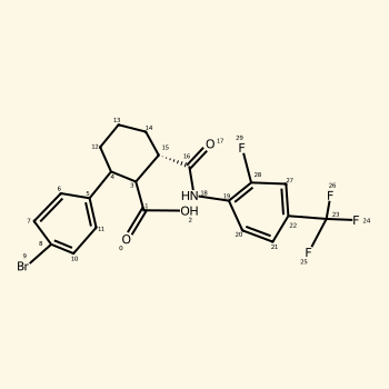 O=C(O)C1C(c2ccc(Br)cc2)CCC[C@@H]1C(=O)Nc1ccc(C(F)(F)F)cc1F